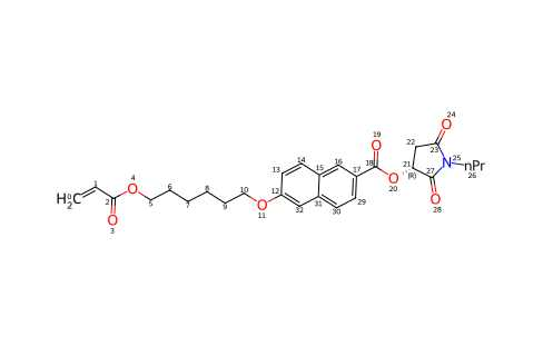 C=CC(=O)OCCCCCCOc1ccc2cc(C(=O)O[C@@H]3CC(=O)N(CCC)C3=O)ccc2c1